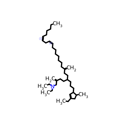 C=C(CCCCCCC/C=C\C/C=C\CCCCC)CCC(CCCC1C=C(CC)CC1C)CCC(=C)CN(CC)CC